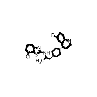 CC(C[C@H]1CC[C@@H](c2ccnc3ccc(F)cc32)CC1)Nc1nc2cccc(Cl)c2s1